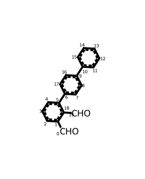 O=Cc1cccc(-c2ccc(-c3ccccc3)cc2)c1C=O